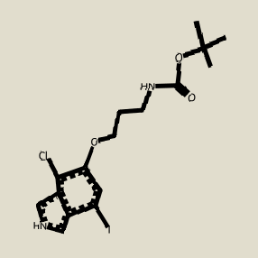 CC(C)(C)OC(=O)NCCCOc1cc(I)c2c[nH]cc2c1Cl